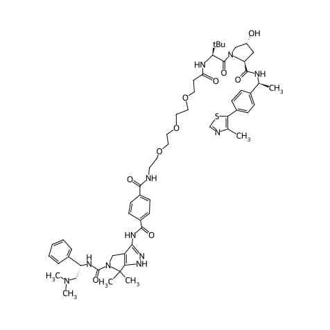 Cc1ncsc1-c1ccc([C@H](C)NC(=O)[C@@H]2C[C@@H](O)CN2C(=O)[C@@H](NC(=O)CCOCCOCCOCCNC(=O)c2ccc(C(=O)Nc3n[nH]c4c3CN(C(=O)N[C@H](CN(C)C)c3ccccc3)C4(C)C)cc2)C(C)(C)C)cc1